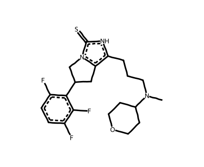 CN(CCCc1[nH]c(=S)n2c1CC(c1c(F)ccc(F)c1F)C2)C1CCOCC1